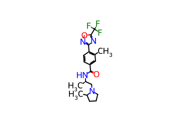 Cc1cc(C(=O)N[C@H](C)CN2CCCC2C)ccc1-c1noc(C(F)(F)F)n1